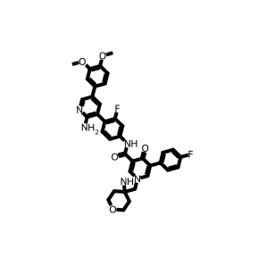 COc1ccc(-c2cnc(N)c(-c3ccc(NC(=O)c4cn(CC5(N)CCOCC5)cc(-c5ccc(F)cc5)c4=O)cc3F)c2)cc1OC